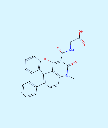 Cn1c(=O)c(C(=O)NCC(=O)O)c(O)c2c(-c3ccccc3)c(-c3ccccc3)ccc21